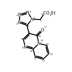 CCOC(=O)Cn1nnnc1-c1cnc2ccccn2c1=O